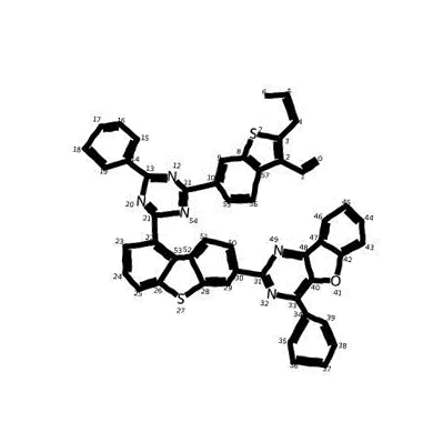 C=Cc1c(/C=C\C)sc2cc(-c3nc(-c4ccccc4)nc(-c4cccc5sc6cc(-c7nc(-c8ccccc8)c8oc9ccccc9c8n7)ccc6c45)n3)ccc12